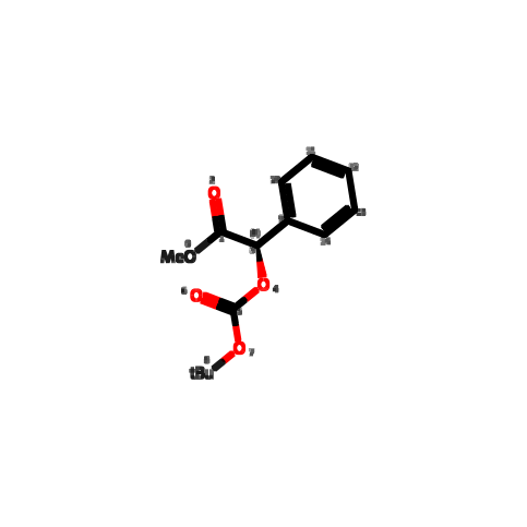 COC(=O)[C@H](OC(=O)OC(C)(C)C)c1ccccc1